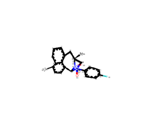 O=[N+]([O-])c1ccc2c3c(cccc13)C[C@@H]1C[N+]([O-])(c3ccc(F)cc3)C2[N@H+]1[O-]